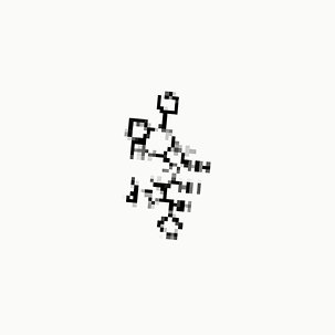 CC1(c2nc(C(=N)OC(=N)N[C@H]3N=C(c4ccccc4)c4ccccc4NC3=O)c(N[C@@H]3CCOC3)s2)CC1